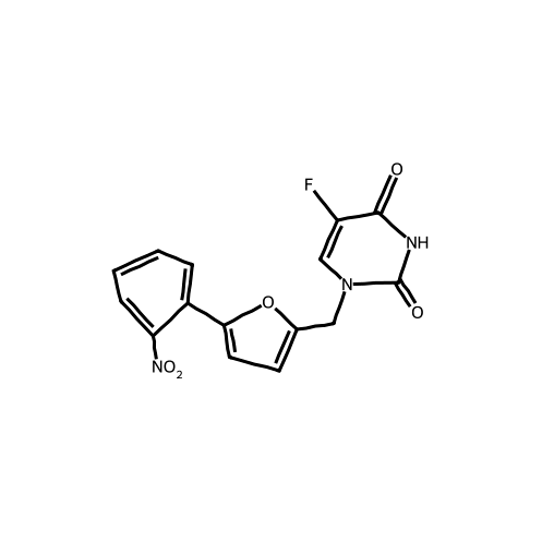 O=c1[nH]c(=O)n(Cc2ccc(-c3ccccc3[N+](=O)[O-])o2)cc1F